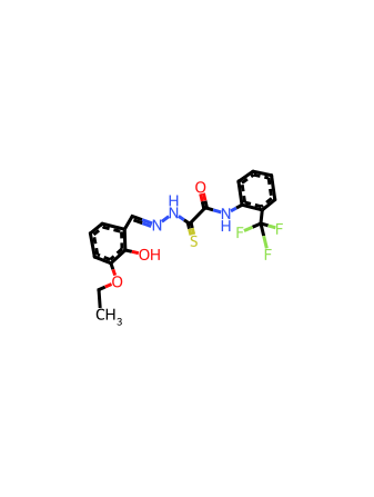 CCOc1cccc(/C=N/NC(=S)C(=O)Nc2ccccc2C(F)(F)F)c1O